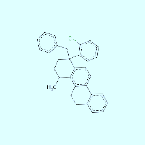 CC1CCC(Cc2ccccc2)(c2ccccc2Cl)c2ccc3c(c21)CCc1ccccc1-3